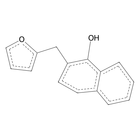 Oc1c(Cc2ccco2)ccc2ccccc12